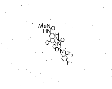 CNC(=O)Nc1ccc2c(c1)C(=O)CC21NC(=O)N(CC(=O)N(Cc2ccc(F)cc2)C(C)C(F)(F)F)C1=O